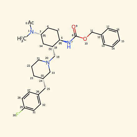 CC(=O)N(C)[C@@H]1CC[C@@H](NC(=O)OCc2ccccc2)[C@H](CN2CCC[C@@H](Cc3ccc(F)cc3)C2)C1